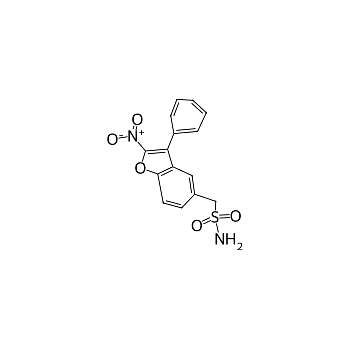 NS(=O)(=O)Cc1ccc2oc([N+](=O)[O-])c(-c3ccccc3)c2c1